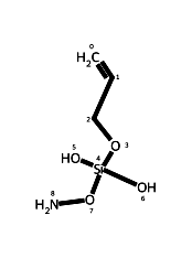 C=CCO[Si](O)(O)ON